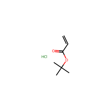 C=CC(=O)OC(C)(C)C.Cl